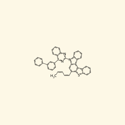 C/C=C\C=C/c1cc2c(c3ccccc3n2-c2nc(-c3cccc(-c4ccccc4)c3)c3ccccc3n2)c2c1sc1ccccc12